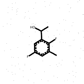 Cc1cc(F)cc(C(C)O)c1F